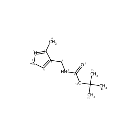 Cc1n[nH]cc1CNC(=O)OC(C)(C)C